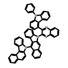 c1ccc(-n2c3ccccc3c3c(-c4nc5ccccc5nc4-n4c5ccccc5c5c(-n6c7ccccc7c7c8ccccc8ccc76)c6ccccc6cc54)cccc32)cc1